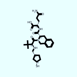 CC(C)(C)[C@H](NC[C@@H]1CC[C@H](S)C1)C(=O)N1Cc2ccccc2C[C@H]1C(=O)N[C@@H](CCC(N)=O)C(=O)O